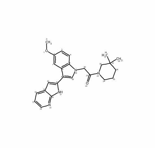 COc1ccc2c(c1)c(-c1cc3cccnc3[nH]1)cn2CC(=O)N1CCCC(C)(C)C1